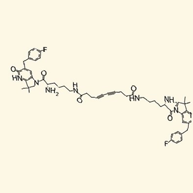 CC1(C)CN(C(=O)[C@@H](N)CCCCNC(=O)CCC#CC#CCCC(=O)NCCCC[C@H](N)C(=O)N2CC(C)(C)c3[nH]c(=O)c(Cc4ccc(F)cc4)cc32)c2cc(Cc3ccc(F)cc3)c(=O)[nH]c21